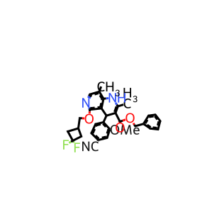 COc1cc(C#N)ccc1C1C(C(=O)OCc2ccccc2)=C(C)Nc2c(C)cnc(OCC3CC(F)(F)C3)c21